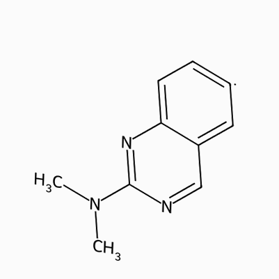 CN(C)c1ncc2c[c]ccc2n1